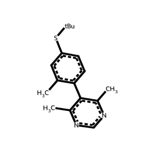 Cc1cc(SC(C)(C)C)ccc1-c1c(C)ncnc1C